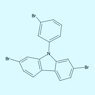 Brc1cccc(-n2c3cc(Br)ccc3c3ccc(Br)cc32)c1